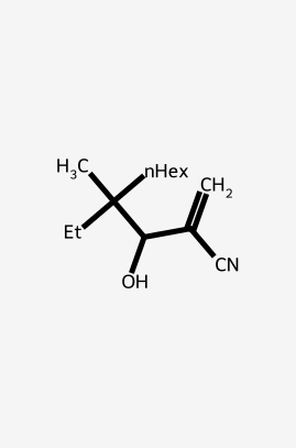 C=C(C#N)C(O)C(C)(CC)CCCCCC